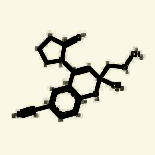 COCC1(C)C=C(N2CCCC2=O)c2cc(C#N)ccc2O1